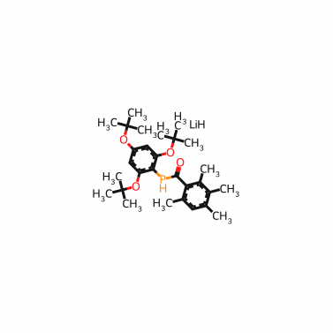 Cc1cc(C)c(C(=O)Pc2c(OC(C)(C)C)cc(OC(C)(C)C)cc2OC(C)(C)C)c(C)c1C.[LiH]